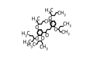 CCCC(CC)Oc1ccc(OC(CC)CCC)c(CCC(=O)c2cc(OC(CC)CCC)cc(OC(CC)CCC)c2OC(CC)CCC)c1